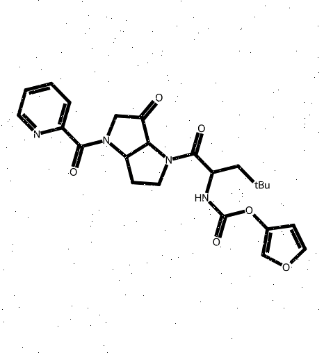 CC(C)(C)CC(NC(=O)Oc1ccoc1)C(=O)N1CCC2C1C(=O)CN2C(=O)c1ccccn1